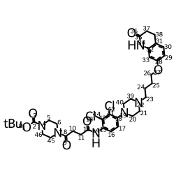 CC(C)(C)OC(=O)N1CCN(C(=O)CCC(=O)Nc2ccc(N3CCN(CCCCOc4ccc5c(c4)NC(=O)CC5)CC3)c(Cl)c2Cl)CC1